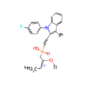 CCO/C(=C/C(=O)O)CP(=O)(O)C#Cc1c(C(C)C)c2ccccc2n1-c1ccc(F)cc1